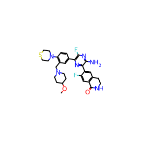 COC1CCN(Cc2cc(-c3nc(-c4cc5c(cc4F)C(=O)NCC5)c(N)nc3F)ccc2N2CCSCC2)CC1